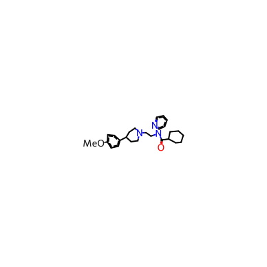 COc1ccc(C2CCN(CCN(C(=O)C3CCCCC3)c3ccccn3)CC2)cc1